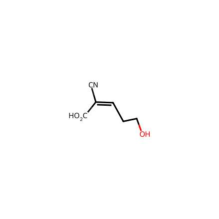 N#C/C(=C/CCO)C(=O)O